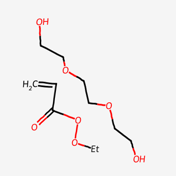 C=CC(=O)OOCC.OCCOCCOCCO